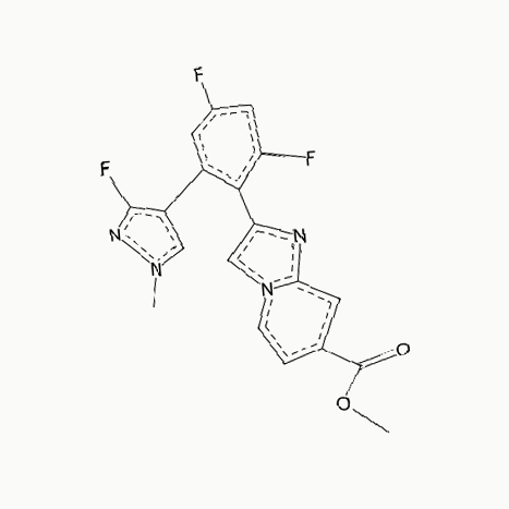 COC(=O)c1ccn2cc(-c3c(F)cc(F)cc3-c3cn(C)nc3F)nc2c1